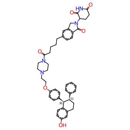 O=C1CCC(N2Cc3cc(CCCCC(=O)N4CCN(CCOc5ccc([C@@H]6c7ccc(O)cc7CC[C@@H]6c6ccccc6)cc5)CC4)ccc3C2=O)C(=O)N1